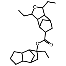 CCC1OC(CC)C2C3CC(CC3C(=O)OC3(CC)CC4CC3C3CCCC43)C12